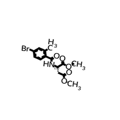 COC(=O)C[C@H](NC(=O)c1ccc(Br)cc1C)C(=O)OC